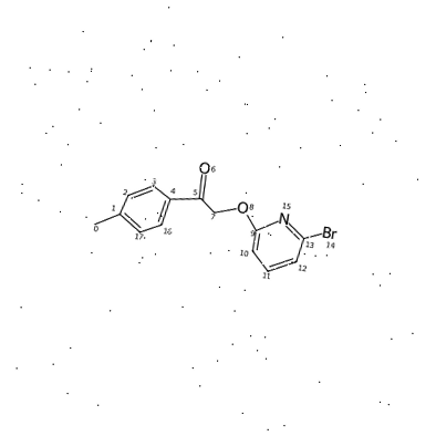 Cc1ccc(C(=O)COc2cccc(Br)n2)cc1